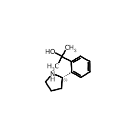 CC(C)(O)c1ccccc1[C@@H]1CCCN1